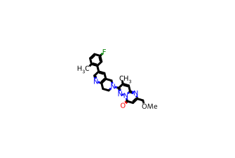 COCc1cc(=O)n2nc(N3CCc4ncc(-c5cc(F)ccc5C)cc4C3)c(C)cc2n1